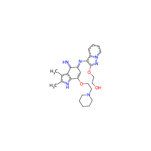 Cc1[nH]c2c(c1C)C(=N)C(=Nc1c(OCCO)nn3ccccc13)C=C2OCCN1CCCCC1